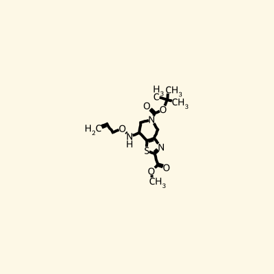 C=CCONC1CN(C(=O)OC(C)(C)C)Cc2nc(C(=O)OC)sc21